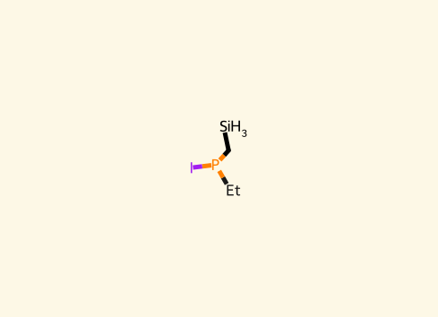 CCP(I)C[SiH3]